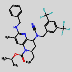 CCC1CC(N(C#N)Cc2cc(C(F)(F)F)cc(C(F)(F)F)c2)c2nc(NCc3ccccc3)c(C)cc2N1C(=O)OC(C)C